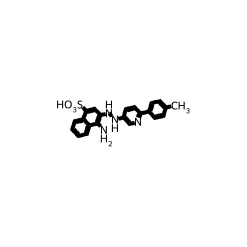 Cc1ccc(-c2ccc(NNc3cc(S(=O)(=O)O)c4ccccc4c3N)cn2)cc1